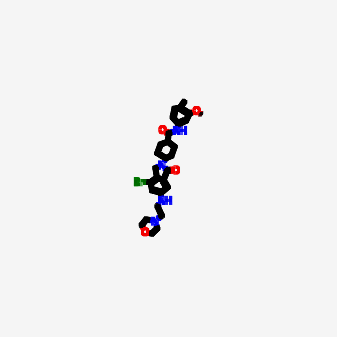 COc1cc(NC(=O)C2CCC(N3Cc4c(Br)cc(NCCN5CCOCC5)cc4C3=O)CC2)ccc1C